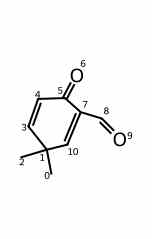 CC1(C)C=CC(=O)C(C=O)=C1